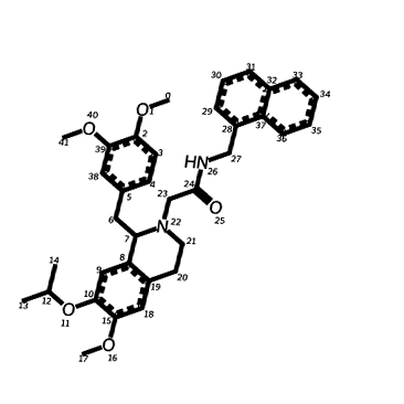 COc1ccc(CC2c3cc(OC(C)C)c(OC)cc3CCN2CC(=O)NCc2cccc3ccccc23)cc1OC